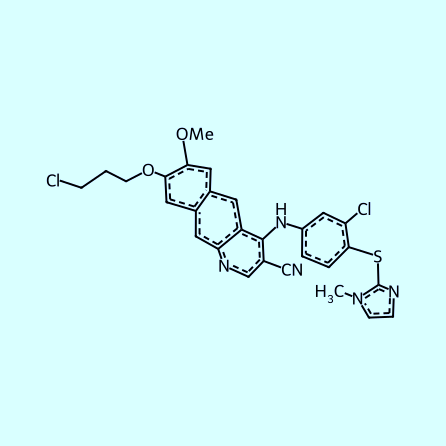 COc1cc2cc3c(Nc4ccc(Sc5nccn5C)c(Cl)c4)c(C#N)cnc3cc2cc1OCCCCl